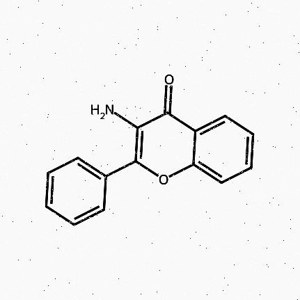 Nc1c(-c2ccccc2)oc2ccccc2c1=O